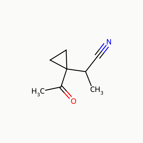 CC(=O)C1(C(C)C#N)CC1